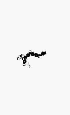 CCCc1c(-c2ccc(C)cc2)sc(-c2ccc(N(C)c3ccc(-c4ccc(OCCc5ccc6c(c5)CC6)cc4)cc3)cc2)c1CCC